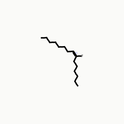 CCCCCCC/C=C(/F)CCCCCC